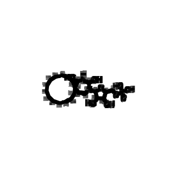 O=P(O)(O)OCC1OC(N2C=CC3(CCCCCCCCCCCCC3)C(O)NC2O)C(O)C1O